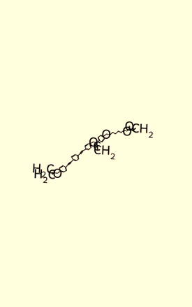 C=C=C(Oc1ccc(C#Cc2ccc(C#Cc3ccc(OC(=C)C=C)cc3)cc2)cc1)c1ccc(OCCCCCCOC(=O)C=C)cc1